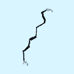 CC=CC=CCCCC